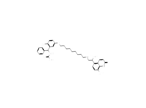 O=C(O)NC(c1ccccc1)c1cc(OCCCCCCCCCNCC(O)c2ccc(O)c3[nH]c(=O)ccc23)ccc1Br